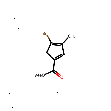 COC(=O)C1=CC(C)=C(Br)C1